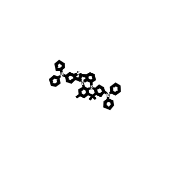 Cc1cc2c3c(c1)C(C)(C)c1cc(N(c4ccccc4)c4ccccc4)ccc1B3c1cccc3c4sc5cc(N(c6ccccc6)c6ccccc6)ccc5c4n-2c13